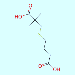 CC(C)(CSCCCC(=O)O)C(=O)O